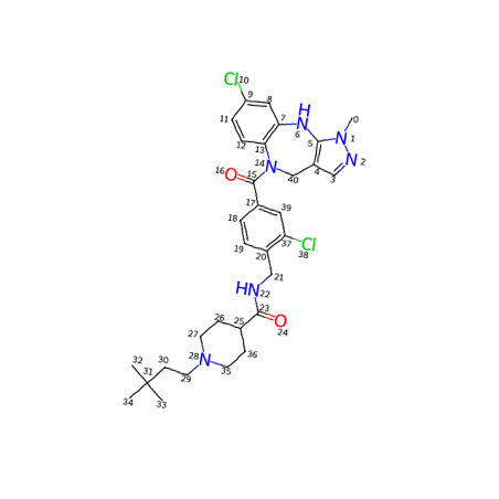 Cn1ncc2c1Nc1cc(Cl)ccc1N(C(=O)c1ccc(CNC(=O)C3CCN(CCC(C)(C)C)CC3)c(Cl)c1)C2